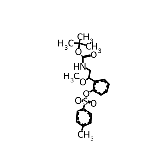 COC(CNC(=O)OC(C)(C)C)c1ccccc1OS(=O)(=O)c1ccc(C)cc1